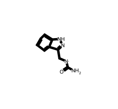 NC(=O)[N]Cc1n[nH]c2ccccc12